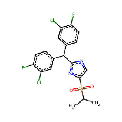 CC(C)S(=O)(=O)c1c[nH]c(C(c2ccc(F)c(Cl)c2)c2ccc(F)c(Cl)c2)n1